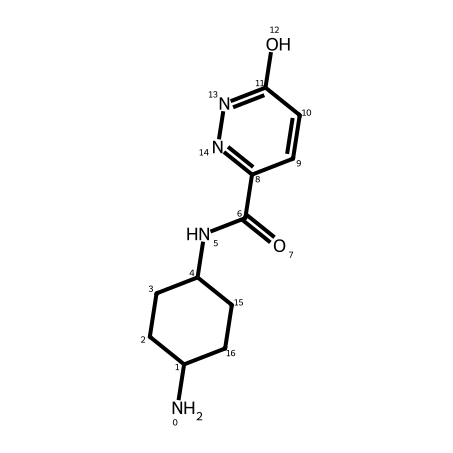 NC1CCC(NC(=O)c2ccc(O)nn2)CC1